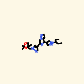 CCC(CC)n1cc(-c2nc(-c3cnn(CC4(C)COC(C)(C)O4)c3)cn3nccc23)cn1